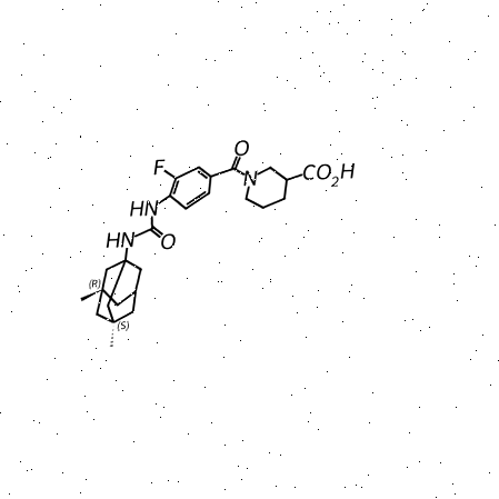 C[C@]12CC3CC(NC(=O)Nc4ccc(C(=O)N5CCCC(C(=O)O)C5)cc4F)(C1)C[C@@](C)(C3)C2